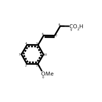 COc1cccc(C=CCC(=O)O)c1